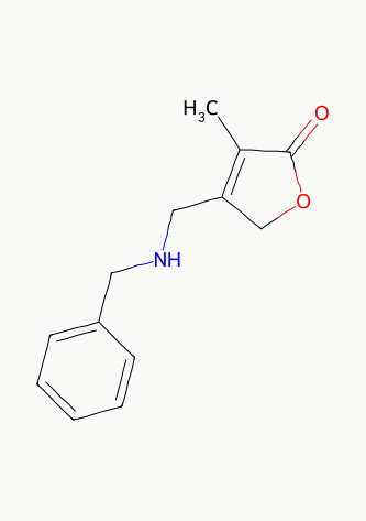 CC1=C(CNCc2ccccc2)COC1=O